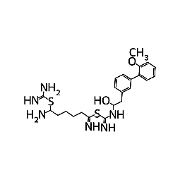 COc1ccccc1-c1cccc(CC(O)NC(=N)SC(=N)CCCCC(N)SC(=N)N)c1